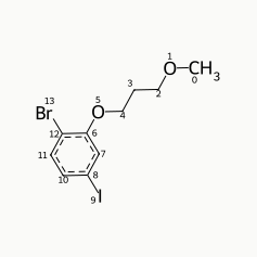 COCCCOc1cc(I)ccc1Br